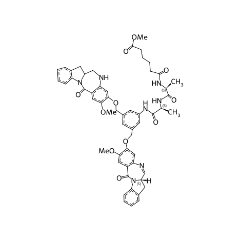 COC(=O)CCCCC(=O)N[C@@H](C)C(=O)N[C@@H](C)C(=O)Nc1cc(COc2cc3c(cc2OC)C(=O)N2c4ccccc4C[C@H]2C=N3)cc(COc2cc3c(cc2OC)C(=O)N2c4ccccc4CC2CN3)c1